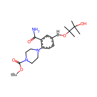 CC(C)(C)OC(=O)N1CCN(c2ccc(BOC(C)(C)C(C)(C)O)cc2C(N)=O)CC1